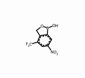 O=[N+]([O-])c1cc2c(c(C(F)(F)F)c1)COB2O